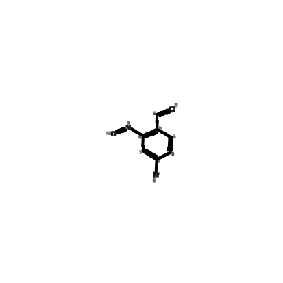 O=Cc1ccc(Br)cc1N=O